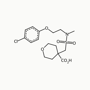 CN(CCOc1ccc(Cl)cc1)S(=O)(=O)CC1(C(=O)O)CCOCC1